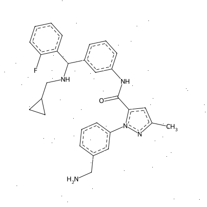 Cc1cc(C(=O)Nc2cccc(C(NCC3CC3)c3ccccc3F)c2)n(-c2cccc(CN)c2)n1